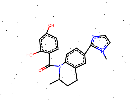 CC1CCc2cc(-c3nccn3C)ccc2N1C(=O)c1ccc(O)cc1O